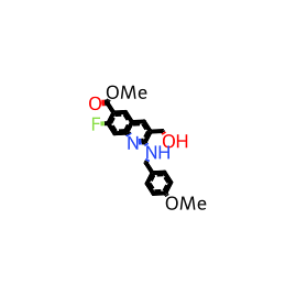 COC(=O)c1cc2cc(CO)c(NCc3ccc(OC)cc3)nc2cc1F